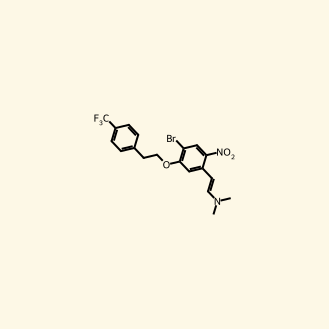 CN(C)/C=C/c1cc(OCCc2ccc(C(F)(F)F)cc2)c(Br)cc1[N+](=O)[O-]